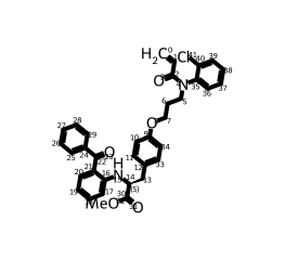 C=CC(=O)N(CCCOc1ccc(C[C@H](Nc2ccccc2C(=O)c2ccccc2)C(=O)OC)cc1)c1ccccc1Cl